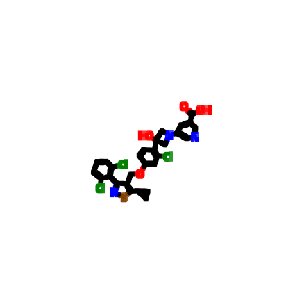 O=C(O)c1cncc(N2CC(O)(c3ccc(OCc4c(-c5c(Cl)cccc5Cl)nsc4C4CC4)cc3Cl)C2)c1